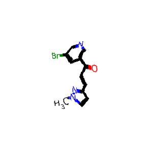 Cn1ccc(/C=C/C(=O)c2cncc(Br)c2)n1